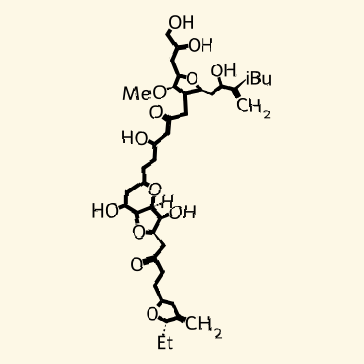 C=C(C(O)C[C@@H]1OC(CC(O)CO)[C@H](OC)C1CC(=O)CC(O)CCC1CC(O)C2O[C@H](CC(=O)CCC3CC(=C)[C@H](CC)O3)C(O)[C@@H]2O1)[C@H](C)CC